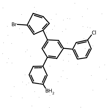 Bc1cccc(-c2cc(-c3cccc(Cl)c3)cc(-c3cccc(Br)c3)c2)c1